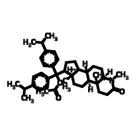 CC(=O)OC(c1ccc(C(C)C)cc1)(c1ccc(C(C)C)cc1)C1CC[C@H]2[C@@H]3CC[C@H]4N(C)C(=O)CC[C@]4(C)[C@H]3CC[C@]12C